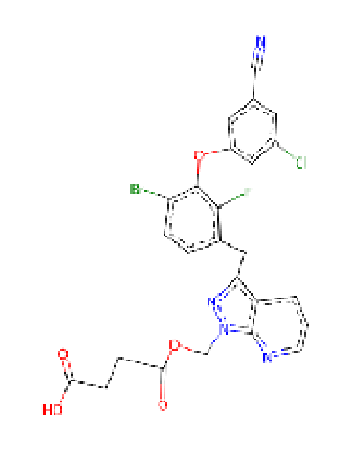 N#Cc1cc(Cl)cc(Oc2c(Br)ccc(Cc3nn(COC(=O)CCC(=O)O)c4ncccc34)c2F)c1